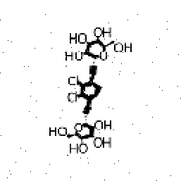 OC[C@H]1O[C@H](C#Cc2ccc(C#C[C@H]3O[C@H](CO)[C@@H](O)[C@H](O)[C@@H]3O)c(Cl)c2Cl)[C@@H](O)[C@@H](O)[C@@H]1O